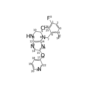 Fc1ccc(F)c(CN2CCNc3ncc(Oc4cccnc4)nc32)c1Cl